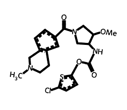 COC1CN(C(=O)c2ccc3c(c2)CCN(C)C3)CC1NC(=O)Oc1ccc(Cl)s1